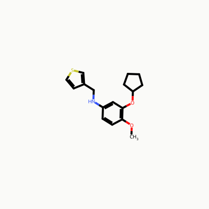 COc1ccc(NCc2ccsc2)cc1OC1CCCC1